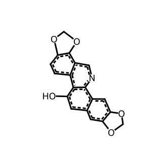 Oc1cc2cc3c(cc2c2ncc4c5c(ccc4c12)OCO5)OCO3